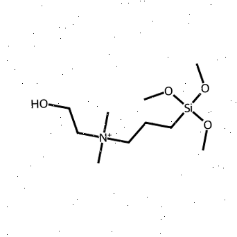 CO[Si](CCC[N+](C)(C)CCO)(OC)OC